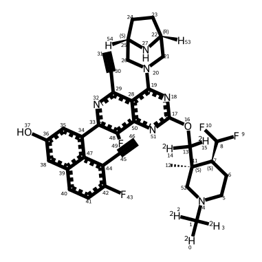 [2H]C([2H])([2H])N1CC[C@H](C(F)F)[C@](C)(C([2H])([2H])Oc2nc(N3C[C@H]4CC[C@@H](C3)N4)c3c(C#C)nc(-c4cc(O)cc5ccc(F)c(C#C)c45)c(F)c3n2)C1